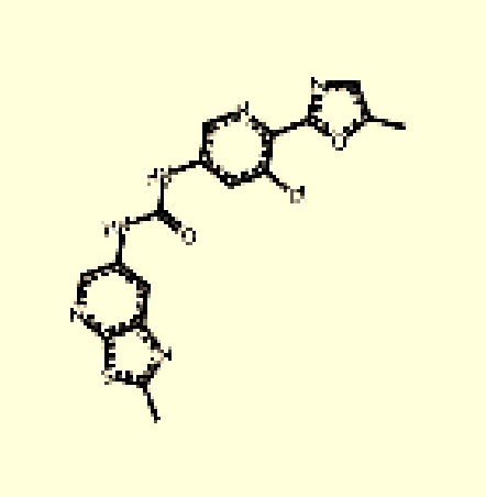 Cc1cnc(-c2ncc(NC(=O)Nc3cnc4sc(C)nc4c3)cc2Cl)o1